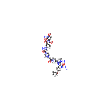 NC(=O)c1c(-c2ccc(Oc3ccccc3)cc2)nn2c1NCC[C@H]2C1CCN(C(=O)CCN2CCN(C(=O)CNc3ccc4c(c3)C(=O)N(C3CCC(=O)NC3=O)C4=O)CC2)CC1